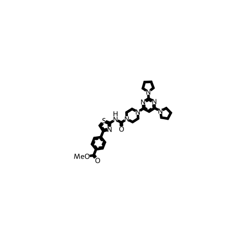 COC(=O)c1ccc(-c2csc(NC(=O)N3CCN(c4cc(N5CCCC5)nc(N5CCCC5)n4)CC3)n2)cc1